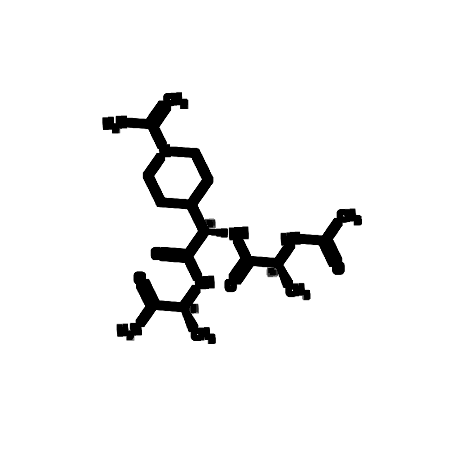 C=C(N)N1CCC([C@H](NC(=O)[C@H](C)NC(C)=O)C(=O)N[C@@H](C)C(N)=O)CC1